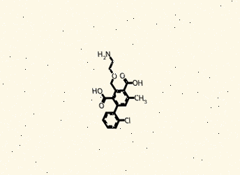 Cc1cc(-c2ccccc2Cl)c(C(=O)O)c(COCCN)c1C(=O)O